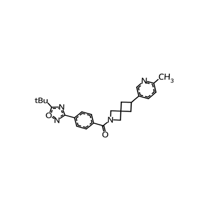 Cc1ccc(C2CC3(C2)CN(C(=O)c2ccc(-c4noc(C(C)(C)C)n4)cc2)C3)cn1